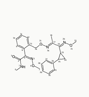 CNC(=O)/C(=N\OC)c1ccccc1CO/N=C(C)/C(=N/OC)C1CC1c1ccccc1